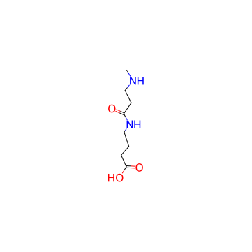 CNCCC(=O)NCCCC(=O)O